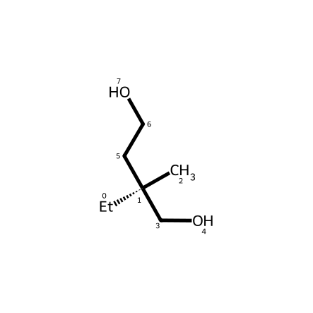 CC[C@](C)(CO)CCO